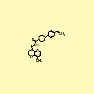 C=Cc1ccc(N2CCN(C(=S)N/N=C3/CCOc4c(C)ccnc43)CC2)cc1